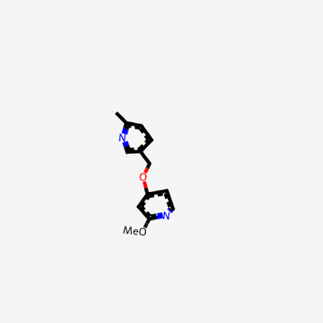 COc1cc(OCc2ccc(C)nc2)ccn1